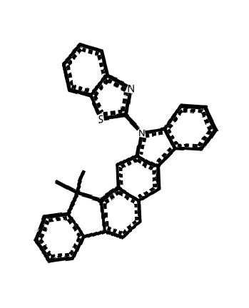 CC1(C)c2ccccc2-c2ccc3cc4c5ccccc5n(-c5nc6ccccc6s5)c4cc3c21